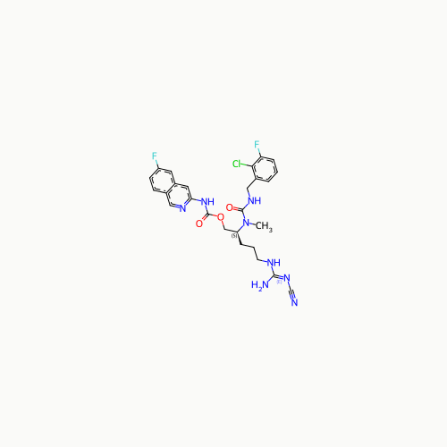 CN(C(=O)NCc1cccc(F)c1Cl)[C@@H](CCCN/C(N)=N/C#N)COC(=O)Nc1cc2cc(F)ccc2cn1